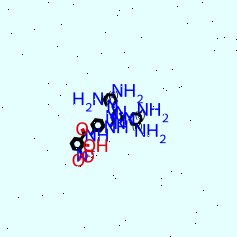 N[C@@H]1C[C@H](N)CN(c2nc(Nc3cccc(NC(=O)c4cccc([N+](=O)[O-])c4O)c3)nc(N3C[C@H](N)C[C@H](N)C3)n2)C1